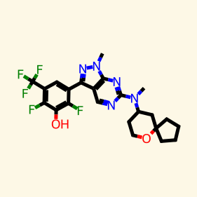 CN(c1ncc2c(-c3cc(C(F)(F)F)c(F)c(O)c3F)nn(C)c2n1)C1CCOC2(CCCC2)C1